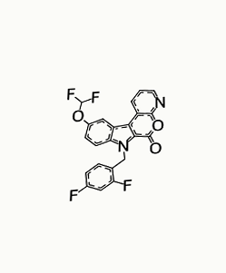 O=c1oc2ncccc2c2c3cc(OC(F)F)ccc3n(Cc3ccc(F)cc3F)c12